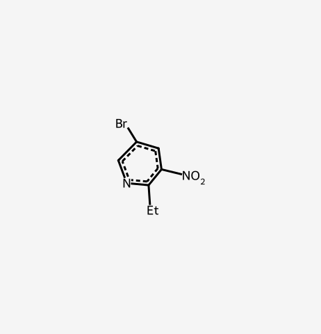 [CH2]Cc1ncc(Br)cc1[N+](=O)[O-]